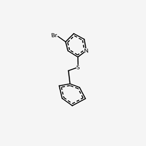 Brc1ccnc(SCc2ccccc2)c1